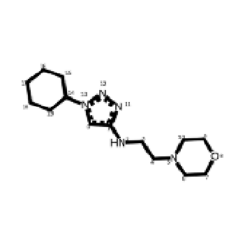 c1c(NCCN2CCOCC2)nnn1C1CCCCC1